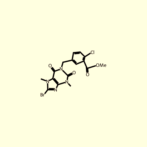 COC(=O)c1cc(Cn2c(=O)c3c(nc(Br)n3C)n(C)c2=O)ccc1Cl